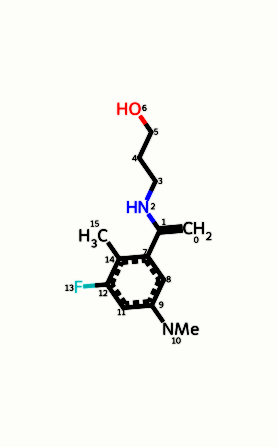 C=C(NCCCO)c1cc(NC)cc(F)c1C